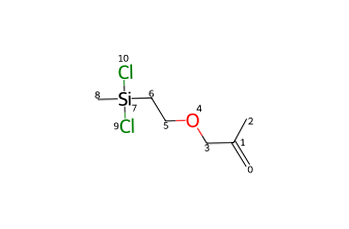 C=C(C)COCC[Si](C)(Cl)Cl